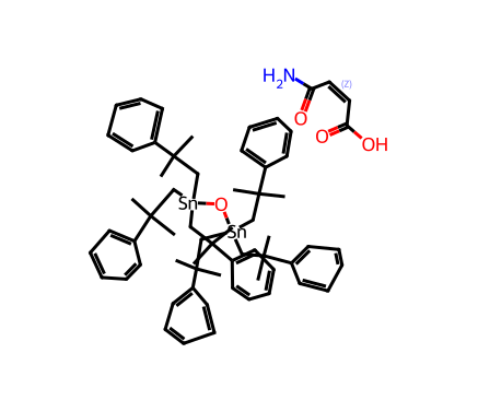 CC(C)([CH2][Sn]([CH2]C(C)(C)c1ccccc1)([CH2]C(C)(C)c1ccccc1)[O][Sn]([CH2]C(C)(C)c1ccccc1)([CH2]C(C)(C)c1ccccc1)[CH2]C(C)(C)c1ccccc1)c1ccccc1.NC(=O)/C=C\C(=O)O